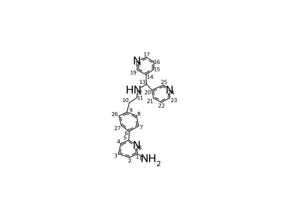 Nc1cccc(-c2ccc(CCNC(c3cccnc3)c3cccnc3)cc2)n1